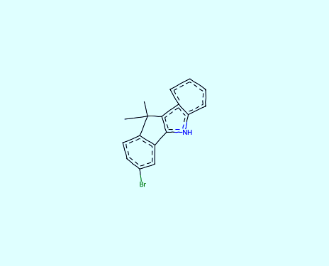 CC1(C)c2ccc(Br)cc2-c2[nH]c3ccccc3c21